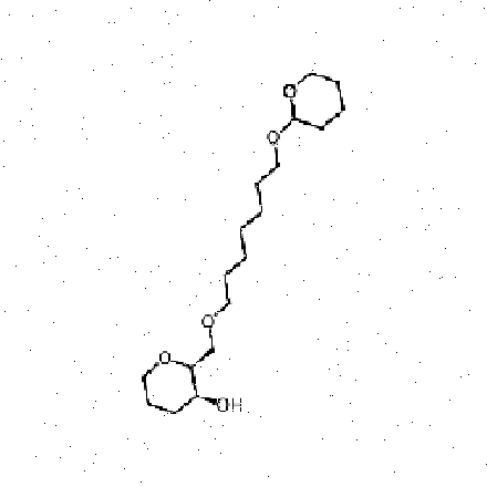 O[C@H]1CCCO[C@H]1COCCCCCCCOC1CCCCO1